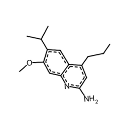 CCCc1cc(N)nc2cc(OC)c(C(C)C)cc12